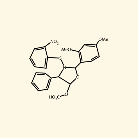 COc1ccc(C2OC(OC(=O)O)C(c3ccccc3)N2Sc2ccccc2[N+](=O)[O-])c(OC)c1